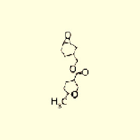 CC1CCC(C(=O)OCC2CCC3OC3C2)CO1